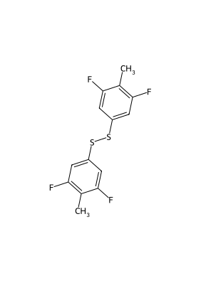 Cc1c(F)cc(SSc2cc(F)c(C)c(F)c2)cc1F